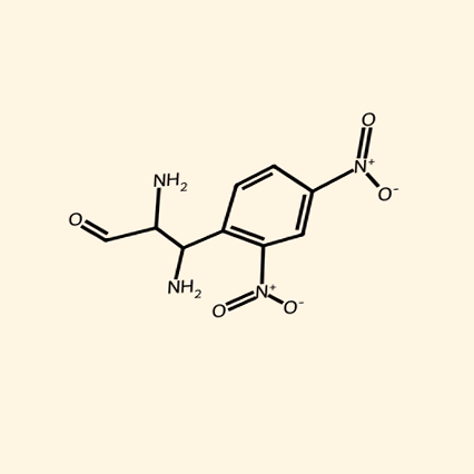 NC(C=O)C(N)c1ccc([N+](=O)[O-])cc1[N+](=O)[O-]